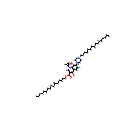 CCCCCCCCCCCCCCCCOC(=O)c1cn(C2CC2)c2c(OC)c(N3CCN(CCCCCCCCCCCCCCCC)CC3)c(F)cc2c1=O